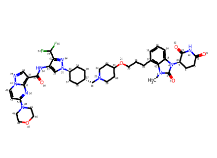 Cn1c(=O)n([C@@H]2CCC(=O)NC2=O)c2cccc(CCCOC3CCN(C[C@H]4CC[C@H](n5cc(NC(=O)c6cnn7ccc(N8CCOCC8)nc67)c(C(F)F)n5)CC4)CC3)c21